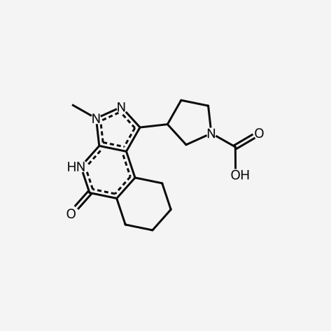 Cn1nc(C2CCN(C(=O)O)C2)c2c3c(c(=O)[nH]c21)CCCC3